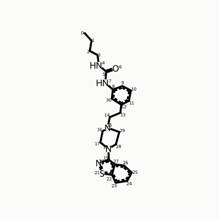 CCCCNC(=O)Nc1cccc(CCN2CCN(c3nsc4ccccc34)CC2)c1